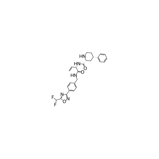 C=C[C@H](NC(=O)[C@H]1C[C@@H](c2ccccc2)CCN1)C(=O)NCc1ccc(-c2noc(C(F)F)n2)cc1